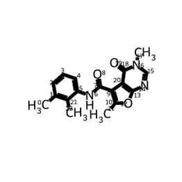 Cc1cccc(NC(=O)c2c(C)oc3ncn(C)c(=O)c23)c1C